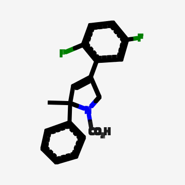 CC1(c2ccccc2)C=C(c2cc(F)ccc2F)CN1C(=O)O